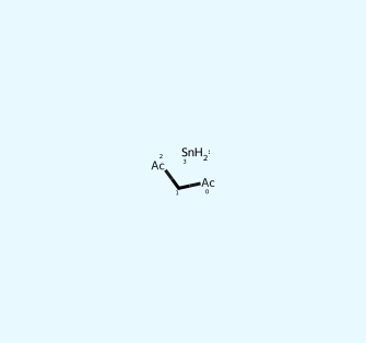 CC(=O)CC(C)=O.[SnH2]